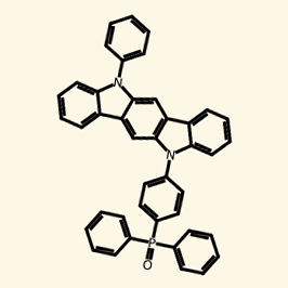 O=P(c1ccccc1)(c1ccccc1)c1ccc(-n2c3ccccc3c3cc4c(cc32)c2ccccc2n4-c2ccccc2)cc1